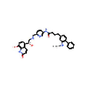 O=C(O)Nc1cc(CCCC(=O)Nc2ccc(CNC[C@H](O)c3ccc(O)c4[nH]c(=O)ccc34)nc2)ccc1-c1ccccc1